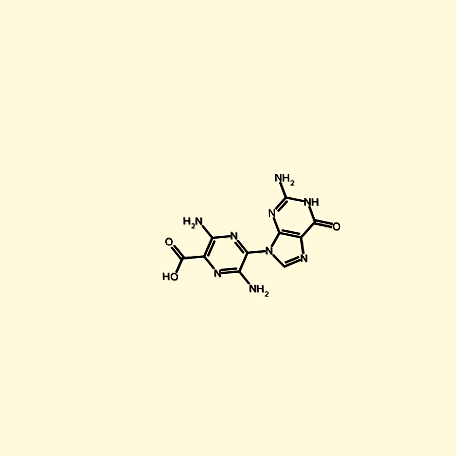 Nc1nc2c(ncn2-c2nc(N)c(C(=O)O)nc2N)c(=O)[nH]1